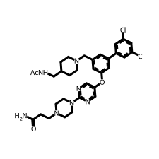 CC(=O)NCC1CCN(Cc2cc(Oc3cnc(N4CCN(CCC(N)=O)CC4)nc3)cc(-c3cc(Cl)cc(Cl)c3)c2)CC1